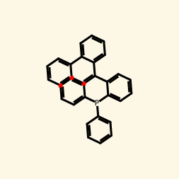 c1ccc(P(c2ccccc2)c2ccccc2-c2cc3ccccc3c3ccccc23)cc1